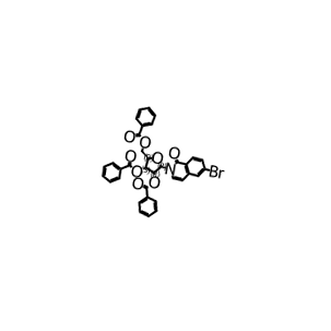 O=C(OC[C@H]1O[C@@H](n2ccc3cc(Br)ccc3c2=O)[C@H](OC(=O)c2ccccc2)[C@H]1OC(=O)c1ccccc1)c1ccccc1